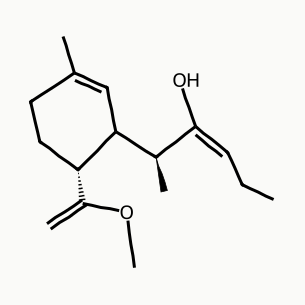 C=C(OC)[C@@H]1CCC(C)=CC1[C@H](C)/C(O)=C\CC